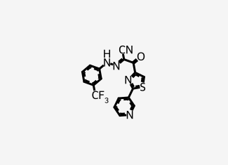 N#C/C(=N\Nc1cccc(C(F)(F)F)c1)C(=O)c1csc(-c2cccnc2)n1